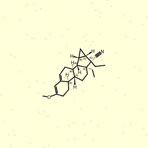 CC[C@]12CC[C@H]3[C@@H](CC=C4C=C(OC)CC[C@@H]43)[C@@H]1[C@@H]1C[C@@H]1[C@@]2(C#N)CC